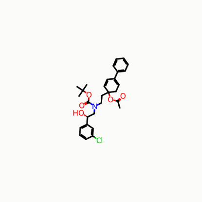 CC(=O)OC1(CCN(C[C@H](O)c2cccc(Cl)c2)C(=O)OC(C)(C)C)C=CC(c2ccccc2)=CC1